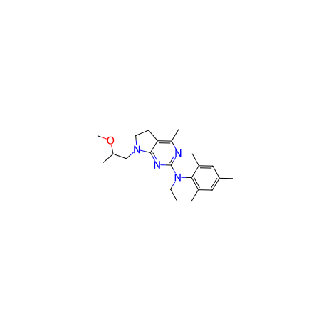 CCN(c1nc(C)c2c(n1)N(CC(C)OC)CC2)c1c(C)cc(C)cc1C